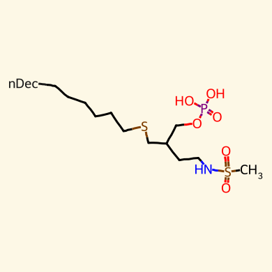 CCCCCCCCCCCCCCCCSCC(CCNS(C)(=O)=O)COP(=O)(O)O